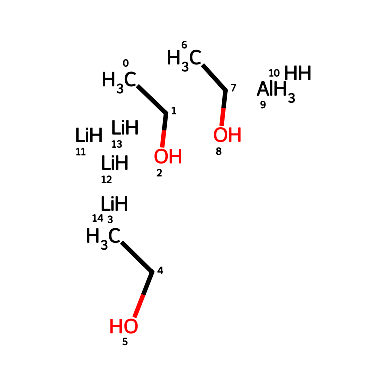 CCO.CCO.CCO.[AlH3].[HH].[LiH].[LiH].[LiH].[LiH]